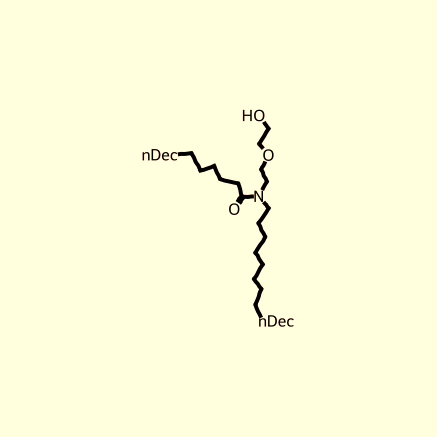 CCCCCCCCCCCCCCCCCCN(CCOCCO)C(=O)CCCCCCCCCCCCCCC